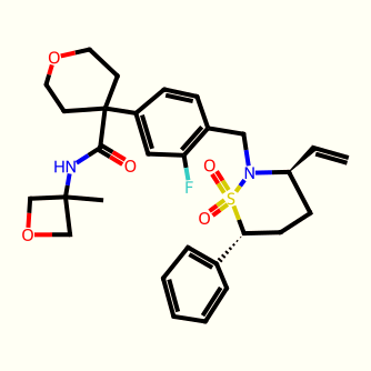 C=C[C@H]1CC[C@H](c2ccccc2)S(=O)(=O)N1Cc1ccc(C2(C(=O)NC3(C)COC3)CCOCC2)cc1F